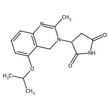 CC1=Nc2cccc(OC(C)C)c2CN1C1CC(=O)NC1=O